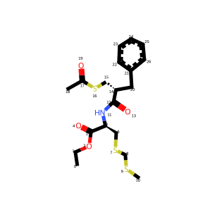 CCOC(=O)[C@H](CSCSC)NC(=O)[C@H](CSC(C)=O)Cc1ccccc1